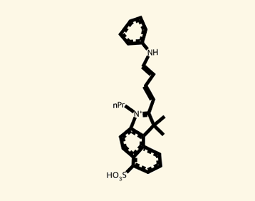 CCC[N+]1=C(/C=C/C=C/Nc2ccccc2)C(C)(C)c2c1ccc1c(S(=O)(=O)O)cccc21